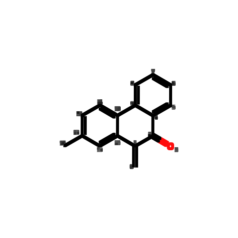 C=C1C(=O)c2ccccc2-c2ccc(C)cc21